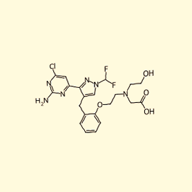 Nc1nc(Cl)cc(-c2nn(C(F)F)cc2Cc2ccccc2OCCN(CCO)CC(=O)O)n1